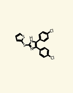 Clc1ccc(-c2nc(Sc3cccs3)[nH]c2-c2ccc(Cl)cc2)cc1